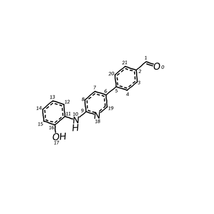 O=Cc1ccc(-c2ccc(Nc3ccccc3O)nc2)cc1